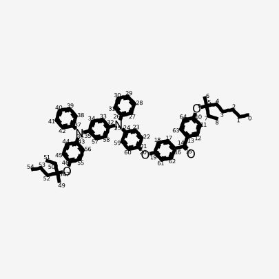 CCCCCC(C)(CC)Oc1ccc(C(=O)c2ccc(Oc3ccc(N(c4ccccc4)c4ccc(N(c5ccccc5)c5ccc(OC(C)(CC)CCC)cc5)cc4)cc3)cc2)cc1